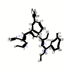 C/C=C\C(C#N)=C/c1cn(/C(=C/C(=C\CC)c2cccc(C)c2)CC)c2ccc(C#N)cc12